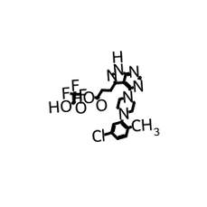 Cc1ccc(Cl)cc1N1CCN(c2ncnc3[nH]nc(CCC(=O)O)c23)CC1.O=C(O)C(F)(F)F